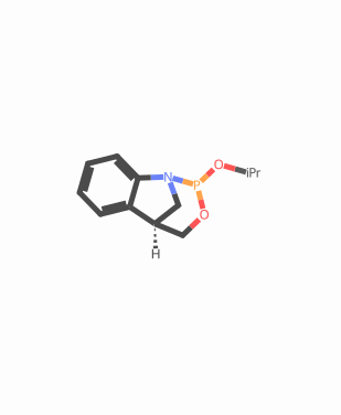 CC(C)OP1OC[C@@H]2CN1c1ccccc12